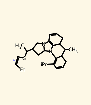 CC/C=C\SC(C)C1CC2N(C1)C1=C3C(CC=C1)C(C)C1CC=CC(C(C)C)=C1N32